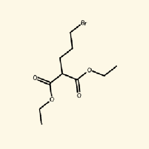 CCOC(=O)C(CCCBr)C(=O)OCC